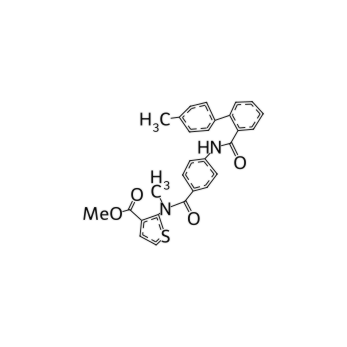 COC(=O)c1ccsc1N(C)C(=O)c1ccc(NC(=O)c2ccccc2-c2ccc(C)cc2)cc1